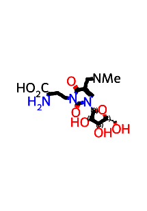 CNCc1cn([C@@H]2O[C@H](CO)[C@@H](O)[C@H]2O)c(=O)n(CCC(N)C(=O)O)c1=O